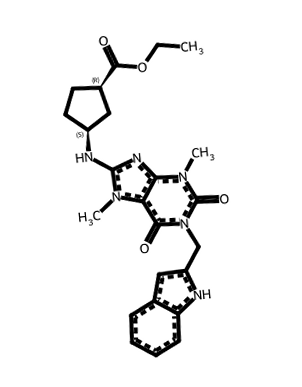 CCOC(=O)[C@@H]1CC[C@H](Nc2nc3c(c(=O)n(Cc4cc5ccccc5[nH]4)c(=O)n3C)n2C)C1